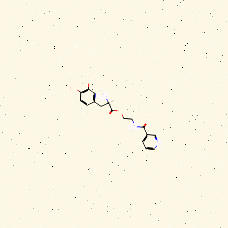 C[C@](N)(Cc1ccc(O)c(O)c1)C(=O)OCCNC(=O)c1cccnc1